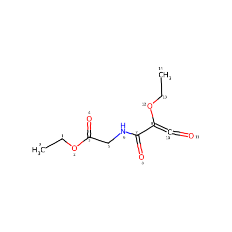 CCOC(=O)CNC(=O)C(=C=O)OCC